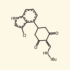 CC(C)(C)NC=C1C(=O)CC(c2cccc3[nH]cc(Cl)c23)CC1=O